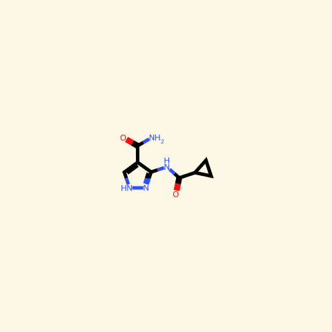 NC(=O)c1c[nH]nc1NC(=O)C1CC1